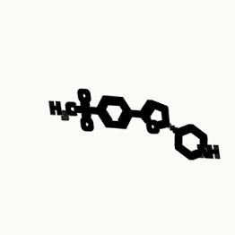 CS(=O)(=O)c1ccc(C2=CC[C@H](C3CCNCC3)O2)cc1